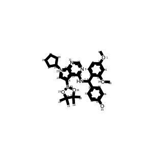 COc1ccc(C(Nc2ncnc3c2c(B2OC(C)(C)C(C)(C)O2)cn3C2CCCC2)c2ccc([O])cc2)c(OC)c1